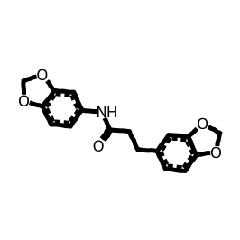 O=C(CCc1ccc2c(c1)OCO2)Nc1ccc2c(c1)OCO2